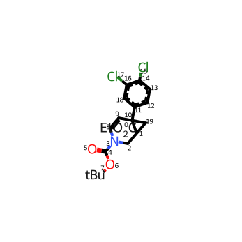 CCOC(=O)C12CN(C(=O)OC(C)(C)C)C=CC1(c1ccc(Cl)c(Cl)c1)C2